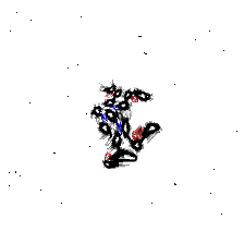 Cc1cccc(N(c2cccc(C)c2)c2cc3c4c(c2)N(c2cccc(-c5cccc6c5oc5ccccc56)c2)c2cc(-c5cccc6c5oc5ccccc56)ccc2B4c2ccc(-c4cccc5c4oc4ccccc45)cc2N3c2cccc(-c3cccc4c3oc3ccccc34)c2)c1